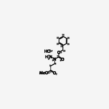 COC(=O)CCN(N)C(=O)OCc1ccccc1.Cl